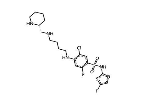 O=S(=O)(Nc1ncc(F)s1)c1cc(Cl)c(NCCCCNC[C@H]2CCCCN2)cc1F